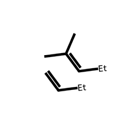 C=CCC.CCC=C(C)C